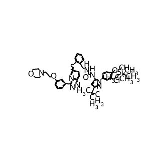 CC(C)(C)c1cc(NC(=O)NCc2ccccc2Sc2ccc3nnc(-c4cccc(OCCN5CCOCC5)c4)n3c2)n(-c2ccc(O[Si](C)(C)C(C)(C)C)c(Cl)c2)n1